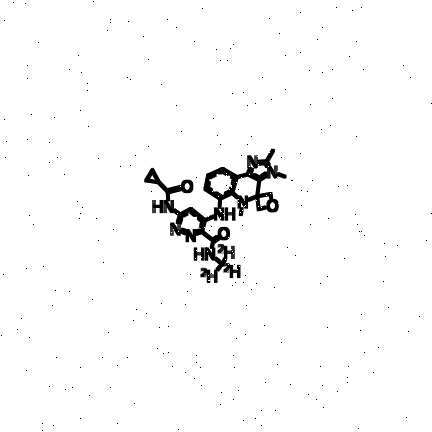 [2H]C([2H])([2H])NC(=O)c1nnc(NC(=O)C2CC2)cc1Nc1cccc2c1N(C)C1(COC1)c1c-2nc(C)n1C